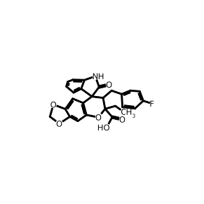 CCC1(C(=O)O)Oc2cc3c(cc2C2(C(=O)Nc4ccccc42)C1Cc1ccc(F)cc1)OCO3